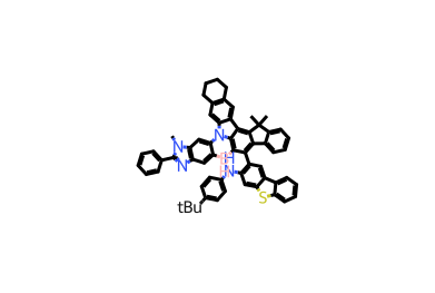 Cn1c(-c2ccccc2)nc2cc3c(cc21)-n1c2cc4c(cc2c2c5c(c(-c6cc7c(cc6Nc6ccc(C(C)(C)C)cc6)sc6ccccc67)c(c21)B3)-c1ccccc1C5(C)C)CCCC4